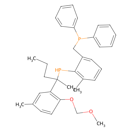 CCCC(C)(Pc1c(C)cccc1CP(c1ccccc1)c1ccccc1)c1cc(C)ccc1OCOC